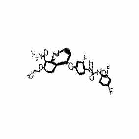 COCCOc1ccc2c(Oc3ccc(NC(=O)Nc4ccc(F)cc4F)c(F)c3)ccnc2c1C(N)=O